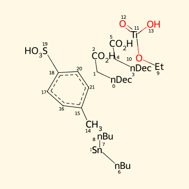 CCCCCCCCCCCC(=O)O.CCCCCCCCCCCC(=O)O.CCC[CH2][Sn][CH2]CCC.CC[O][Ti](=[O])[OH].Cc1ccc(S(=O)(=O)O)cc1